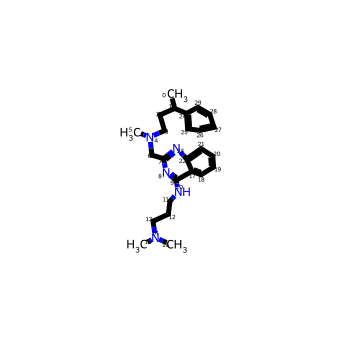 CC(CCN(C)Cc1nc(NCCCN(C)C)c2ccccc2n1)c1ccccc1